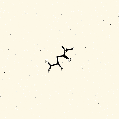 CN(C)C(=O)CC(F)C(F)F